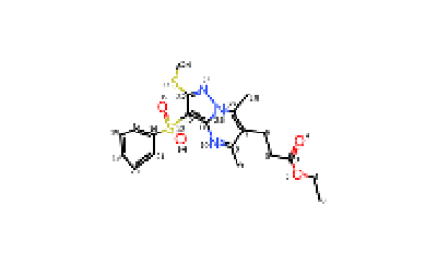 CCOC(=O)CCc1c(C)nc2c(S(=O)(=O)c3ccccc3)c(SC)nn2c1C